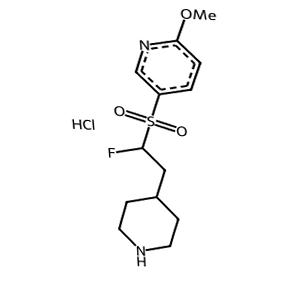 COc1ccc(S(=O)(=O)C(F)CC2CCNCC2)cn1.Cl